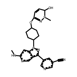 CNc1cc2c(cn1)c(-c1cncc(C#N)c1)nn2C1CCC(OC2=NN(C)C(O)C=C2)CC1